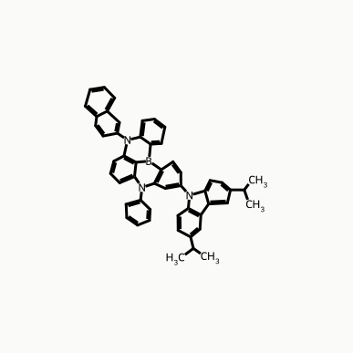 CC(C)c1ccc2c(c1)c1cc(C(C)C)ccc1n2-c1ccc2c(c1)N(c1ccccc1)c1cccc3c1B2c1ccccc1N3c1ccc2ccccc2c1